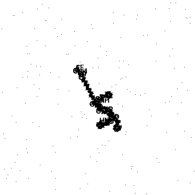 O=C(CNC(=O)C(F)(F)F)OCCCCCCCCCCCCNC(=O)[C@@H]1CN(C(=O)c2ccc(C(=O)N3C[C@@H](C(=O)N[C@H]4C[C@@H]4c4ccccc4)[C@H](C(=O)N[C@H]4C[C@@H]4c4ccccc4)C3)cc2)C[C@H]1C(=O)N[C@H]1C[C@@H]1c1ccccc1